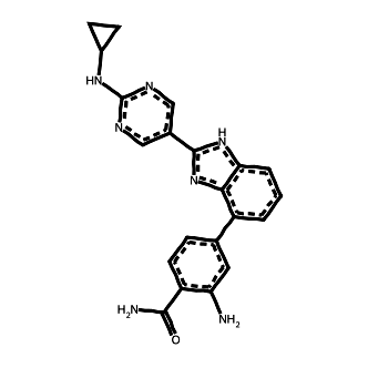 NC(=O)c1ccc(-c2cccc3[nH]c(-c4cnc(NC5CC5)nc4)nc23)cc1N